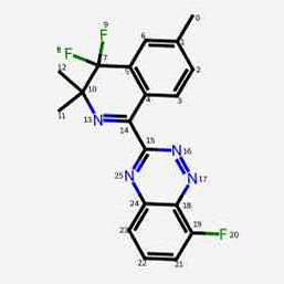 Cc1ccc2c(c1)C(F)(F)C(C)(C)N=C2c1nnc2c(F)cccc2n1